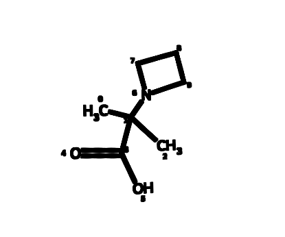 CC(C)(C(=O)O)N1CCC1